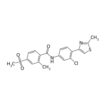 Cc1nc(-c2ccc(NC(=O)c3ccc(S(C)(=O)=O)cc3C)cc2Cl)cs1